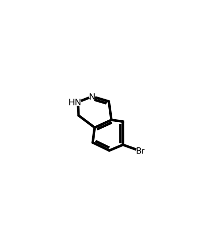 Brc1ccc2c(c1)C=NNC2